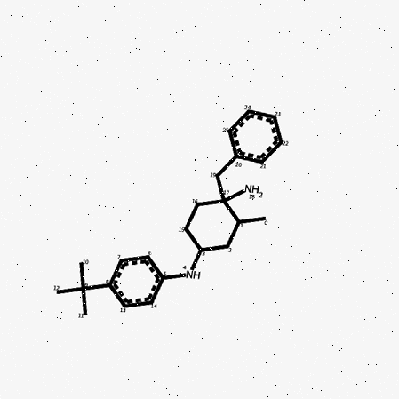 CC1CC(Nc2ccc(C(C)(C)C)cc2)CCC1(N)Cc1ccccc1